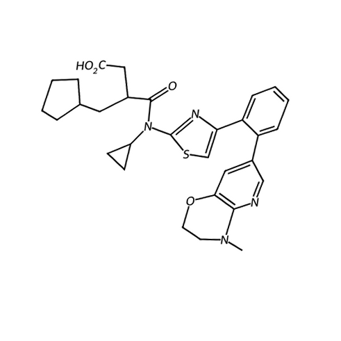 CN1CCOc2cc(-c3ccccc3-c3csc(N(C(=O)C(CC(=O)O)CC4CCCC4)C4CC4)n3)cnc21